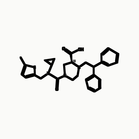 Cc1ccc(CN(C(=O)N2CCN(CC(c3ccccc3)c3ccccc3)[C@H](C(=O)O)C2)C2CC2)s1